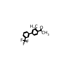 CC(=O)c1ccc(-c2cccc(C(F)(F)F)c2)cc1C